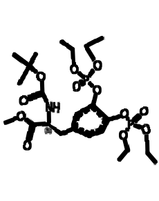 CCOP(=O)(OCC)Oc1ccc(C[C@H](NC(=O)OC(C)(C)C)C(=O)OC)cc1OP(=O)(OCC)OCC